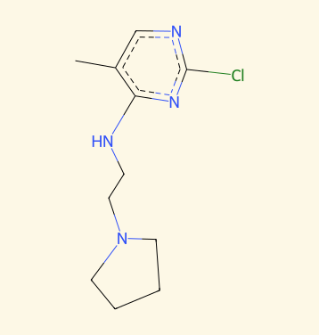 Cc1cnc(Cl)nc1NCCN1CCCC1